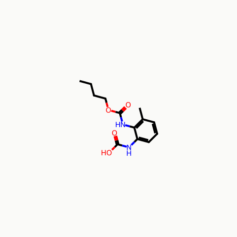 CCCCOC(=O)Nc1c(C)cccc1NC(=O)O